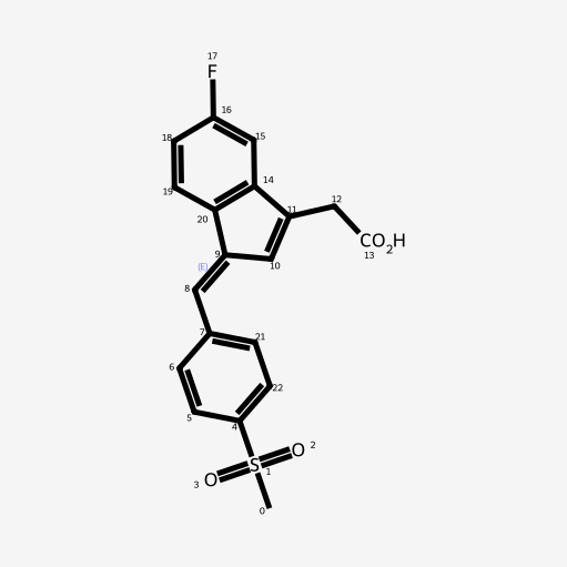 CS(=O)(=O)c1ccc(/C=C2\C=C(CC(=O)O)c3cc(F)ccc32)cc1